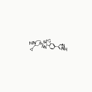 Oc1cc(-c2cn[nH]c2)ccc1-c1cnc(N2CCNC(C3CC3)C2)nn1